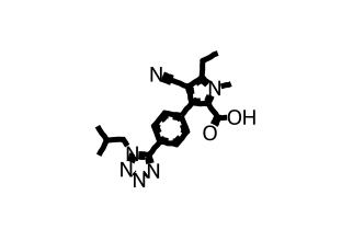 CCc1c(C#N)c(-c2ccc(-c3nnnn3CC(C)C)cc2)c(C(=O)O)n1C